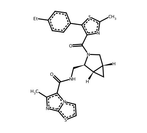 CCc1ccc(-c2sc(C)nc2C(=O)N2C[C@@H]3C[C@@H]3[C@H]2CNC(=O)c2c(C)nc3sccn23)cc1